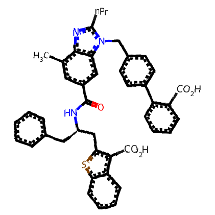 CCCc1nc2c(C)cc(C(=O)N[C@H](Cc3ccccc3)Cc3sc4ccccc4c3C(=O)O)cc2n1Cc1ccc(-c2ccccc2C(=O)O)cc1